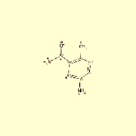 Cc1ccc(N)cc1[S+](N)[O-]